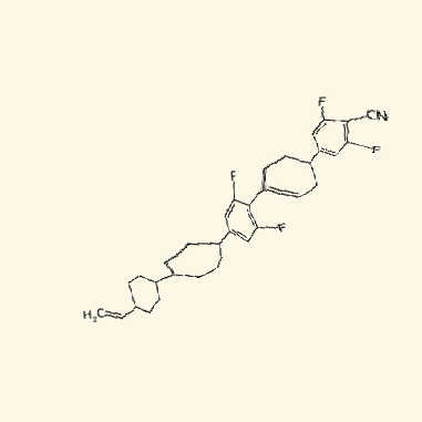 C=CC1CCC(C2CCC(c3cc(F)c(C4=CCC(c5cc(F)c(C#N)c(F)c5)CC4)c(F)c3)CC2)CC1